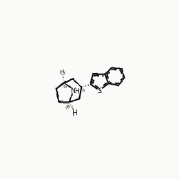 c1ccc2sc([C@@H]3C[C@H]4CC[C@@H](C3)N4)cc2c1